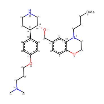 COCCCN1CCOc2ccc(CO[C@H]3CNCC[C@@H]3c3ccc(OCCCN(C)C)cc3)cc21